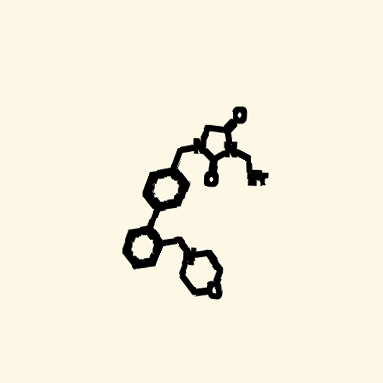 CC(C)CN1C(=O)CN(Cc2ccc(-c3ccccc3CN3CCOCC3)cc2)C1=O